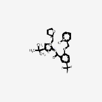 CC(C)(C)c1cn(C[C@H]2CCCO2)/c(=N/C(=O)c2cc(C(F)(F)F)ccc2OCc2cccc[n+]2[O-])s1